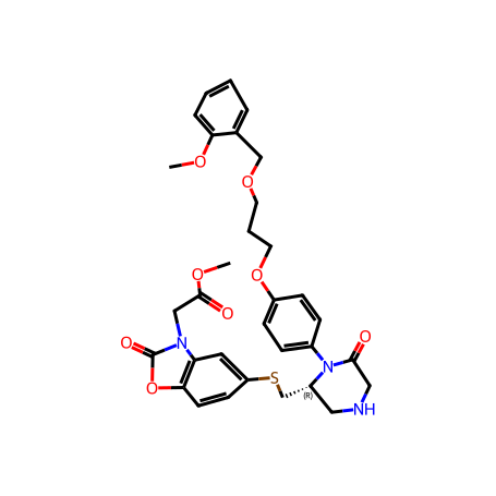 COC(=O)Cn1c(=O)oc2ccc(SC[C@H]3CNCC(=O)N3c3ccc(OCCCOCc4ccccc4OC)cc3)cc21